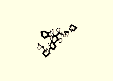 COC[C@@H]1CCCN1c1ccc2c(=O)c(C(=O)NCCN3CCCC3)c3n(C)c4ccccc4n3c2n1